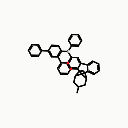 CC1CC2CCCC(C1)C21c2ccccc2-c2cc(N(c3ccccc3)c3ccc(-c4ccccc4)cc3-c3ccccc3)ccc21